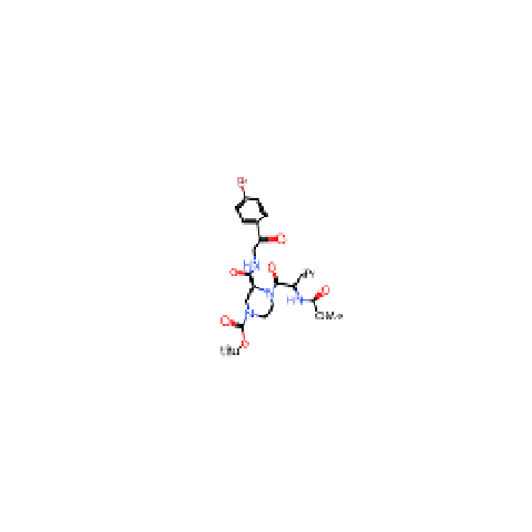 COC(=O)NC(C(=O)N1CCN(C(=O)OC(C)(C)C)CC1C(=O)NCC(=O)c1ccc(Br)cc1)C(C)C